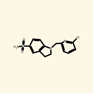 NS(=O)(=O)c1ccc2c(c1)CCN2Cc1cccc(Cl)n1